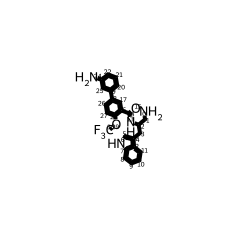 NCC(Cc1c[nH]c2ccccc12)NC(=O)c1cc(-c2cccc(N)c2)ccc1OC(F)(F)F